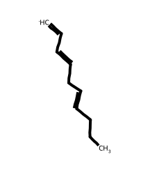 [CH]=CC=CCC=CCCC